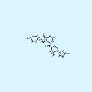 Cc1cn(-c2ccc(Nc3cccc4c3nc(-c3ccc(F)cc3)n4C)cc2F)cn1